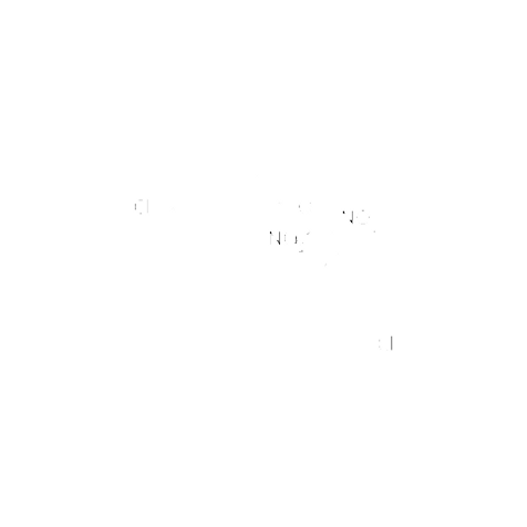 O=[N+]([O-])c1c(Cc2ccc(Cl)cc2)cccc1Oc1cccc(Cc2ccc(Cl)cc2)c1[N+](=O)[O-]